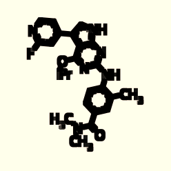 Cc1cc(C(=O)N(C)C)ccc1Nc1nc(OC(C)C)c2c(-c3ccnc(F)c3)c[nH]c2n1